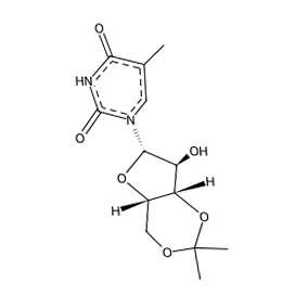 Cc1cn([C@H]2O[C@H]3COC(C)(C)O[C@H]3[C@@H]2O)c(=O)[nH]c1=O